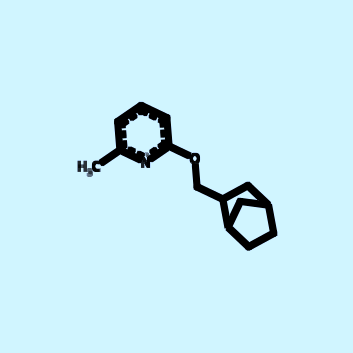 Cc1cccc(OCC2CC3CCC2C3)n1